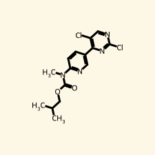 CC(C)COC(=O)N(C)c1ccc(-c2nc(Cl)ncc2Cl)cn1